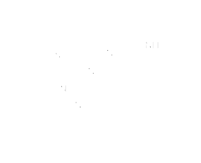 CNc1nnc2c(C)cc(N)nn12